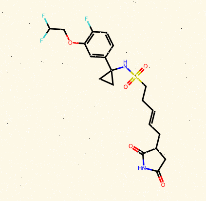 O=C1CC(C/C=C/CCS(=O)(=O)NC2(c3ccc(F)c(OCC(F)F)c3)CC2)C(=O)N1